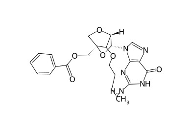 CCCCOC1[C@@H]2OC[C@]1(COC(=O)c1ccccc1)O[C@H]2n1cnc2c(=O)[nH]c(N)nc21